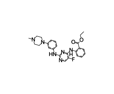 CCOC(=O)c1ccccc1Nc1nc(Nc2cccc(N3CCN(C)CC3)c2)ncc1F